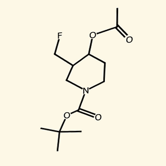 CC(=O)OC1CCN(C(=O)OC(C)(C)C)CC1CF